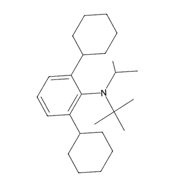 CC(C)N(c1c(C2CCCCC2)cccc1C1CCCCC1)C(C)(C)C